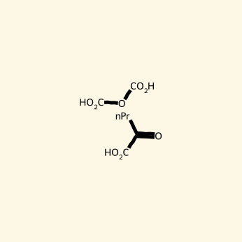 CCCC(=O)C(=O)O.O=C(O)OC(=O)O